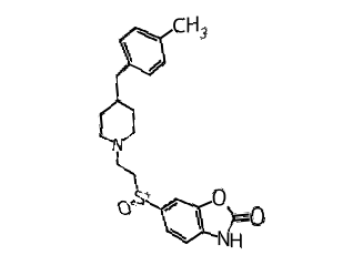 Cc1ccc(CC2CCN(CC[S+]([O-])c3ccc4[nH]c(=O)oc4c3)CC2)cc1